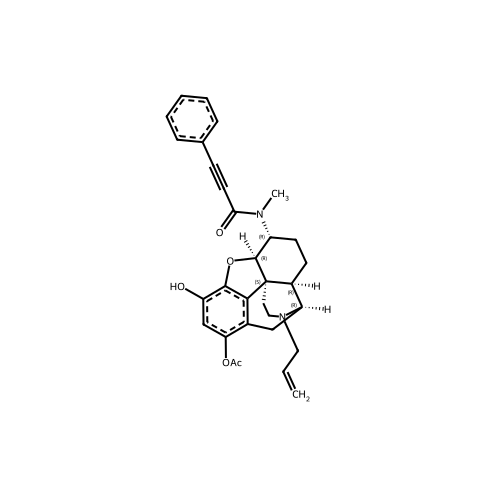 C=CCN1CC[C@]23c4c5c(OC(C)=O)cc(O)c4O[C@H]2[C@H](N(C)C(=O)C#Cc2ccccc2)CC[C@H]3[C@H]1C5